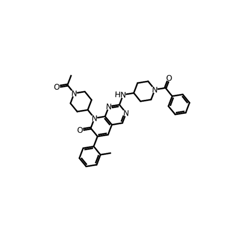 CC(=O)N1CCC(n2c(=O)c(-c3ccccc3C)cc3cnc(NC4CCN(C(=O)c5ccccc5)CC4)nc32)CC1